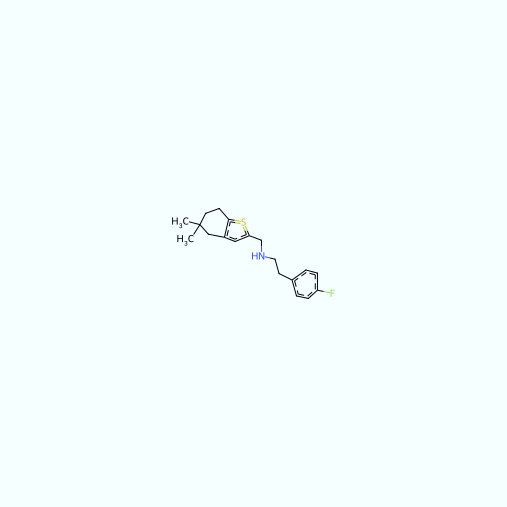 CC1(C)CCc2sc(CNCCc3ccc(F)cc3)cc2C1